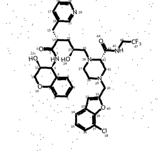 O=C(N[C@H]1c2ccccc2OC[C@H]1O)[C@H](Cc1cccnc1)C[C@H](O)CN1CCN(Cc2cc3cccc(Cl)c3o2)C[C@H]1C(=O)NCC(F)(F)F